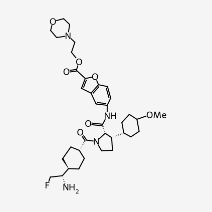 COC1CCC([C@@H]2CCN(C(=O)[C@H]3CC[C@H]([C@H](N)CF)CC3)[C@@H]2C(=O)Nc2ccc3oc(C(=O)OCCN4CCOCC4)cc3c2)CC1